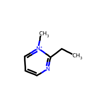 CCc1nccc[n+]1C